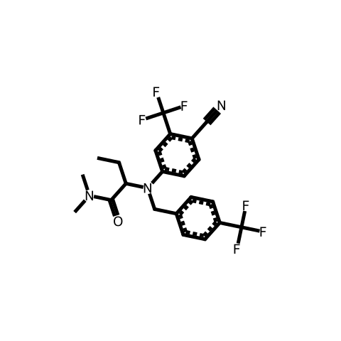 CCC(C(=O)N(C)C)N(Cc1ccc(C(F)(F)F)cc1)c1ccc(C#N)c(C(F)(F)F)c1